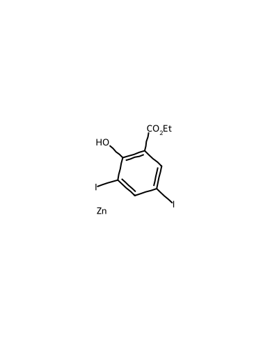 CCOC(=O)c1cc(I)cc(I)c1O.[Zn]